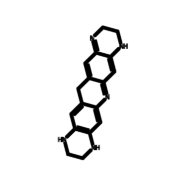 c1c2c(cc3c1NCCN3)N=c1cc3c(cc1C2)=NCCN3